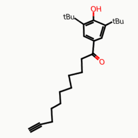 C#CCCCCCCCCC(=O)c1cc(C(C)(C)C)c(O)c(C(C)(C)C)c1